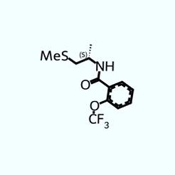 CSC[C@H](C)NC(=O)c1ccccc1OC(F)(F)F